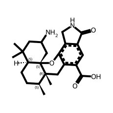 C[C@H]1CC[C@H]2C(C)(C)CC(N)C[C@]23Oc2c(c(C(=O)O)cc4c2CNC4=O)C[C@]13C